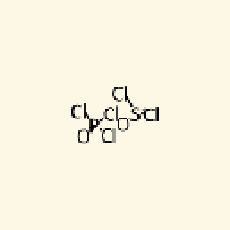 O=P(Cl)(Cl)Cl.[O-][S+](Cl)Cl